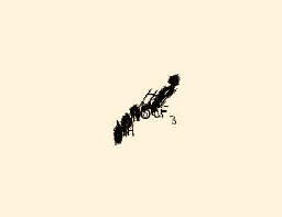 O=C(Nc1ccc(N2CCN(c3nc4ccccc4[nH]3)CC2)nc1)c1oc(N2CCC(c3ccccc3)CC2)nc1C(F)(F)F